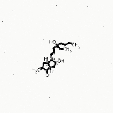 C=CC(O)(CC=C[C@H]1[C@@H]2CC(=C)C(=O)[C@H]2C[C@H]1O)CCCC